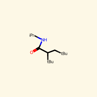 CC(C)NC(=O)C(CC(C)(C)C)C(C)(C)C